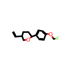 C=CC1CCC(c2ccc(OCF)cc2)OC1